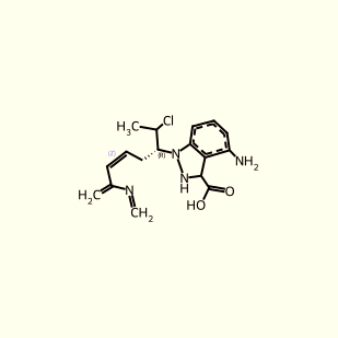 C=NC(=C)/C=C\C[C@H](C(C)Cl)N1NC(C(=O)O)c2c(N)cccc21